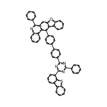 c1ccc(-c2nc(-c3ccc(-c4ccc(-c5c6c(cc7c(-c8ccccc8)nc8ccccc8c57)oc5ccccc56)cc4)cc3)nc(-c3cccc4c3sc3ccccc34)n2)cc1